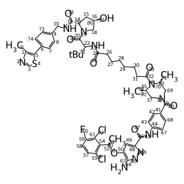 Cc1ncsc1-c1ccc(CNC(=O)[C@@H]2C[C@@H](O)CN2C(=O)C(NC(=O)CCCCCCC(=O)N2[C@H](C)CN(C(=O)c3ccc(NC(=O)c4cc(O[C@H](C)c5c(Cl)ccc(F)c5Cl)c(N)nn4)cc3)C[C@@H]2C)C(C)(C)C)cc1